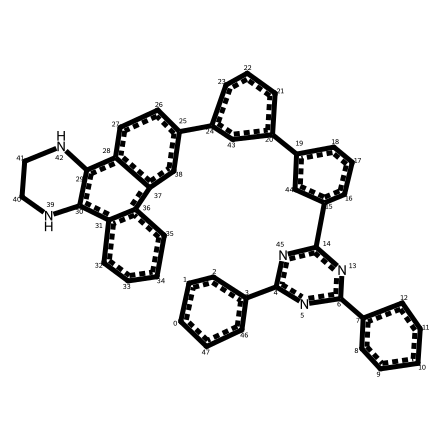 c1ccc(-c2nc(-c3ccccc3)nc(-c3cccc(-c4cccc(-c5ccc6c7c(c8ccccc8c6c5)NCCN7)c4)c3)n2)cc1